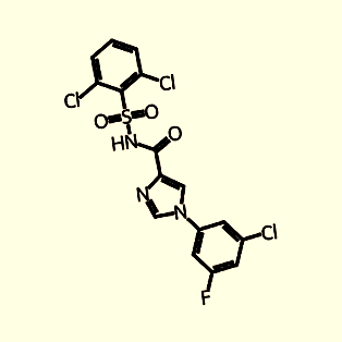 O=C(NS(=O)(=O)c1c(Cl)cccc1Cl)c1cn(-c2cc(F)cc(Cl)c2)cn1